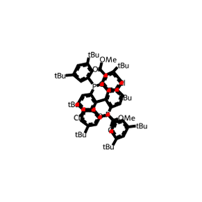 COC(=O)COc1c(Cl)ccc(P(c2cc(C(C)(C)C)cc(C(C)(C)C)c2)c2cc(C(C)(C)C)cc(C(C)(C)C)c2)c1-c1c(P(c2cc(C(C)(C)C)cc(C(C)(C)C)c2)c2cc(C(C)(C)C)cc(C(C)(C)C)c2)ccc(Cl)c1OCC(=O)OC